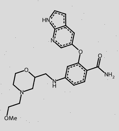 COCCN1CCOC(CNc2ccc(C(N)=O)c(Oc3cnc4[nH]ccc4c3)c2)C1